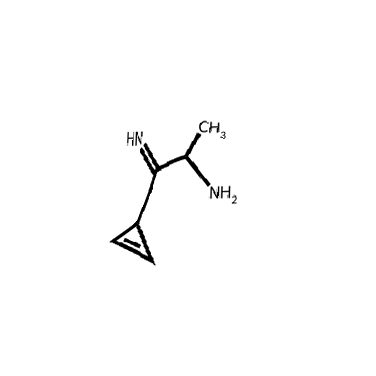 CC(N)C(=N)C1C=C1